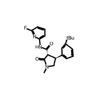 CN1C[C@H](c2cccc(C(C)(C)C)c2)[C@@H](C(=O)Nc2cccc(F)n2)C1=O